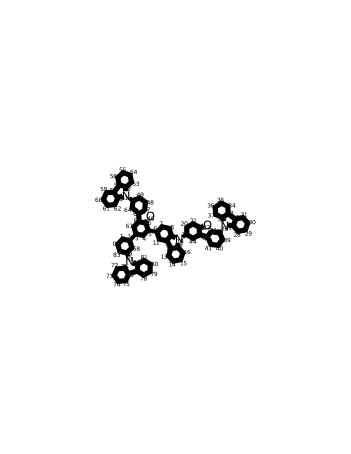 c1cc(-c2cc(-c3ccc4c(c3)c3ccccc3n4-c3ccc4oc5c(-n6c7ccccc7c7ccccc76)cccc5c4c3)c3oc4ccc(-n5c6ccccc6c6ccccc65)cc4c3c2)cc(-n2c3ccccc3c3ccccc32)c1